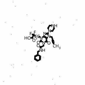 CC#CCn1c(N2CCNCC2)nc2c1c(=O)n(CC(=O)NCc1ccccc1)c(=O)n2C.O=C(O)C(F)(F)F